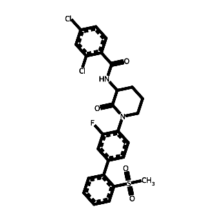 CS(=O)(=O)c1ccccc1-c1ccc(N2CCCC(NC(=O)c3ccc(Cl)cc3Cl)C2=O)c(F)c1